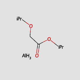 CC(C)OCC(=O)OC(C)C.[AlH3]